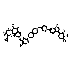 Cn1nc(C2CCC(=O)NC2=O)c2ccc(N3CCC(CN4CCC5(CC4)CCN(c4ncc(F)c(Nc6ccc7c(c6)c6c(c(=O)n7C)OCC(F)(F)C(C7CC7)N6)n4)CC5)CC3)cc21